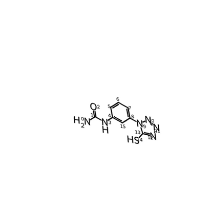 NC(=O)Nc1cccc(-n2nnnc2S)c1